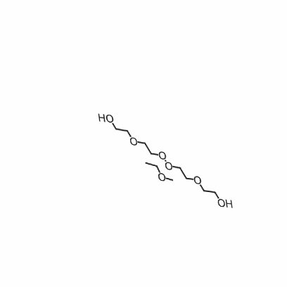 CCOC.OCCOCCOOCCOCCO